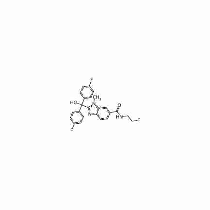 Cn1c(C(O)(c2ccc(F)cc2)c2ccc(F)cc2)nc2ccc(C(=O)NCCF)cc21